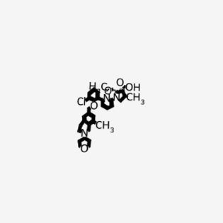 COC[C@@H]1[C@H](C(=O)O)[C@@H](C)CN1c1cccc(-c2cccc(Cl)c2OCc2cc(C)c3c(c2)CCN(C2CCOCC2)C3)n1